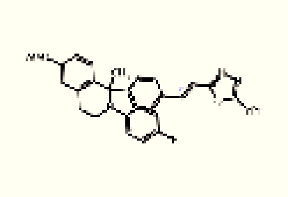 CCCc1nnc(/C=C/c2ccc(C3(C)c4ccc(OC)cc4CCN3c3ccc(F)cc3)cc2)o1